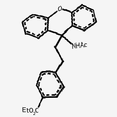 CCOC(=O)c1ccc(CCC2(NC(C)=O)c3ccccc3Oc3ccccc32)cc1